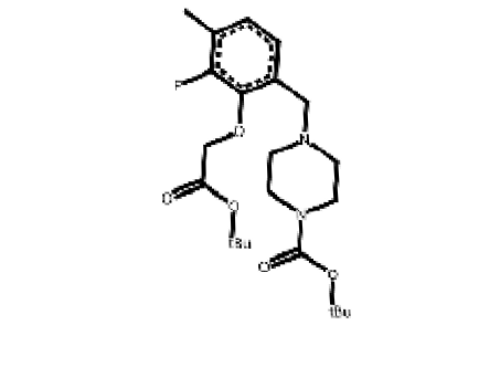 Cc1ccc(CN2CCN(C(=O)OC(C)(C)C)CC2)c(OCC(=O)OC(C)(C)C)c1F